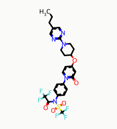 CCCc1cnc(N2CCC(Oc3ccn(-c4ccc(N(C(=O)C(F)(F)F)S(=O)(=O)C(F)(F)F)cc4)c(=O)c3)CC2)nc1